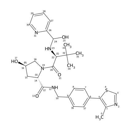 Cc1ncsc1-c1ccc(CNC(=O)[C@@H]2C[C@@H](O)CN2C(=O)[C@@H](NC(O)c2ccccn2)C(C)(C)C)cc1